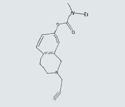 C#CCN1CCc2ccc(OC(=O)N(C)CC)cc2C1